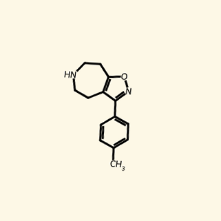 Cc1ccc(-c2noc3c2CCNCC3)cc1